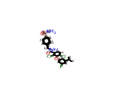 CC(C)c1cc(F)cc(Oc2c(Cl)ccc(C(=O)NCc3ccc([S+](N)[O-])cc3)c2Cl)c1